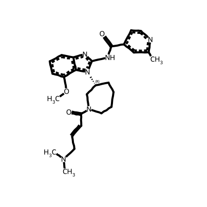 COc1cccc2nc(NC(=O)c3ccnc(C)c3)n([C@@H]3CCCCN(C(=O)C=CCN(C)C)C3)c12